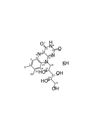 Cc1cc2nc3c(=O)[nH]c(=O)nc-3n(C[C@H](O)[C@H](O)[C@H](O)CO)c2cc1C.[KH]